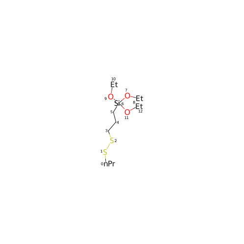 [CH2]CCSSCCC[Si](OCC)(OCC)OCC